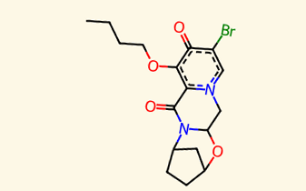 CCCCOc1c2n(cc(Br)c1=O)CC1OC3CCC(C3)N1C2=O